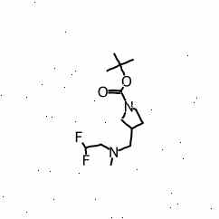 CN(CC(F)F)CC1CCN(C(=O)OC(C)(C)C)C1